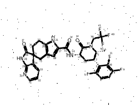 C[C@@H]1[C@H](c2c(F)ccc(F)c2F)C[C@H](NC(=O)c2cc3c([nH]2)CCC2(C3)C(=O)Nc3ncccc32)C(=O)N1CC(F)(F)F